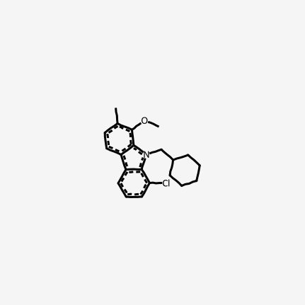 COc1c(C)ccc2c3cccc(Cl)c3n(CC3CCCCC3)c12